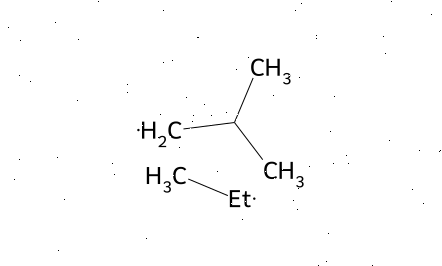 C[CH]C.[CH2]C(C)C